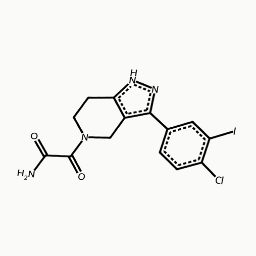 NC(=O)C(=O)N1CCc2[nH]nc(-c3ccc(Cl)c(I)c3)c2C1